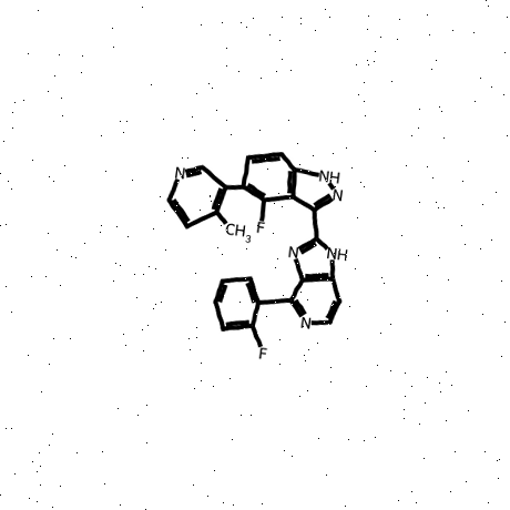 Cc1ccncc1-c1ccc2[nH]nc(-c3nc4c(-c5ccccc5F)nccc4[nH]3)c2c1F